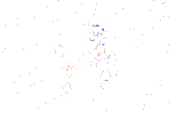 O=C(O)OC(CCCOP(=O)(OCc1ccccc1)OCc1ccccc1)Oc1c2n(cc(C(=O)NCc3ccc(F)cc3F)c1=O)C[C@@H]1N(C[C@H]3CCCN31)C2=O